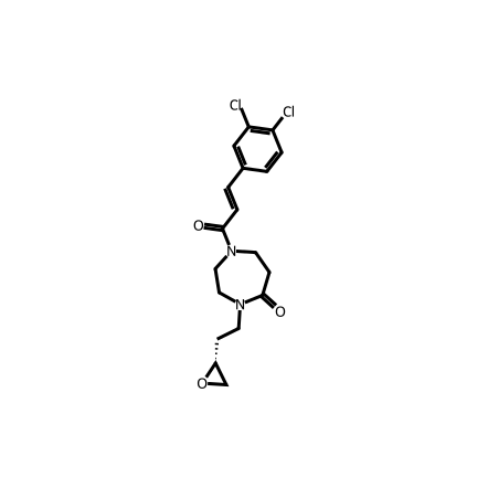 O=C(C=Cc1ccc(Cl)c(Cl)c1)N1CCC(=O)N(CC[C@@H]2CO2)CC1